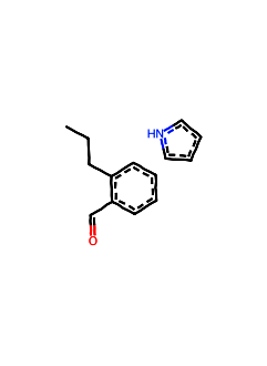 CCCc1ccccc1C=O.c1cc[nH]c1